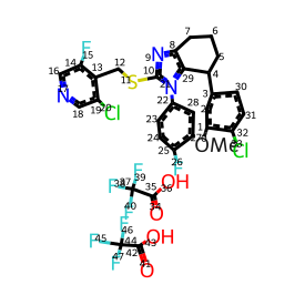 COc1cc(C2CCCc3nc(SCc4c(F)cncc4Cl)n(-c4ccc(F)cc4)c32)ccc1Cl.O=C(O)C(F)(F)F.O=C(O)C(F)(F)F